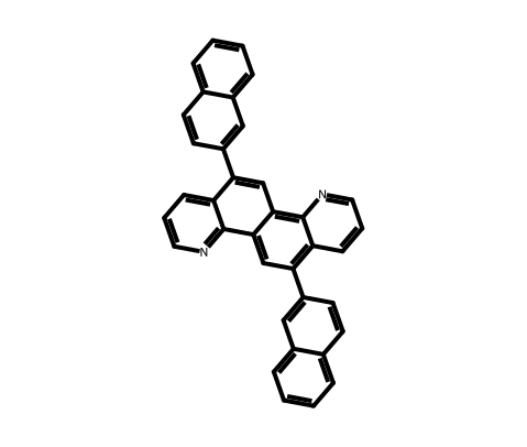 c1ccc2cc(-c3cc4c(cc(-c5ccc6ccccc6c5)c5cccnc54)c4ncccc34)ccc2c1